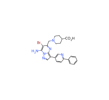 Nc1c(Br)c(CN2CCC(C(=O)O)CC2)nc2c(-c3ccc(-c4ccccc4)nc3)cnn12